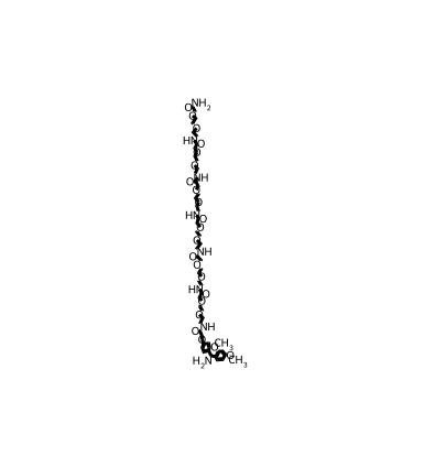 COc1ccc(C(N)c2ccc(OCC(=O)NCCOCCOCC(=O)NCCOCCOCC(=O)NCCOCCOCC(=O)NCCOCCOCC(=O)NCCOCCOCC(=O)NCCOCCOCC(N)=O)cc2)c(OC)c1